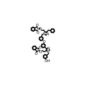 O=C1c2ccccc2C(=O)N1OCCc1c(Cc2ccccc2)ncn1Cc1cccc(Oc2cccc(-c3ncn(Cc4cccc(O)c4)c3CCON3C(=O)c4ccccc4C3=O)c2)c1